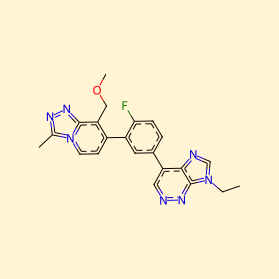 CCn1cnc2c(-c3ccc(F)c(-c4ccn5c(C)nnc5c4COC)c3)cnnc21